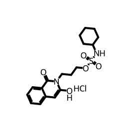 Cl.O=c1c2ccccc2cc(O)n1CCCOS(=O)(=O)NC1CCCCC1